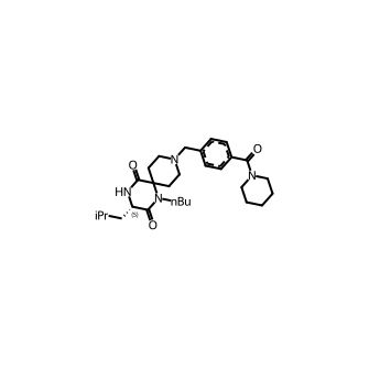 CCCCN1C(=O)[C@H](CC(C)C)NC(=O)C12CCN(Cc1ccc(C(=O)N3CCCCC3)cc1)CC2